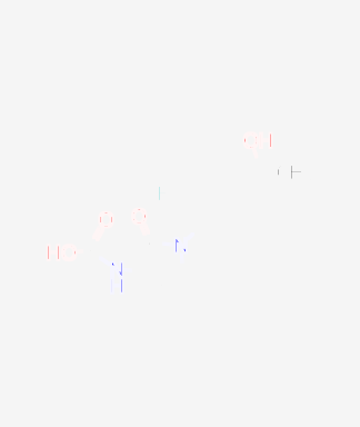 CC(O)c1ccc(N2CCC(NC(=O)O)C2=O)c(F)c1